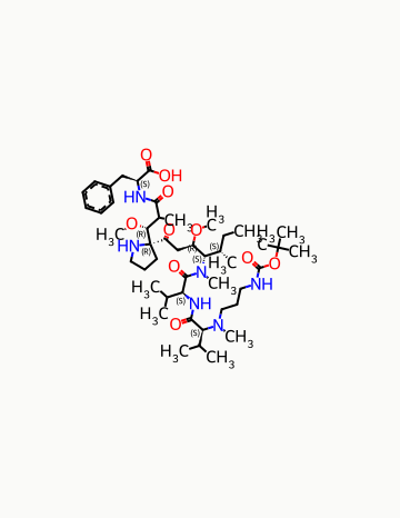 CC[C@H](C)[C@@H]([C@@H](CC(=O)[C@]1([C@H](OC)C(C)C(=O)N[C@@H](Cc2ccccc2)C(=O)O)CCCN1)OC)N(C)C(=O)[C@@H](NC(=O)[C@H](C(C)C)N(C)CCCNC(=O)OC(C)(C)C)C(C)C